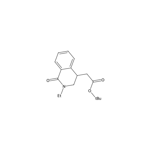 CCN1CC(CC(=O)OC(C)(C)C)c2ccccc2C1=O